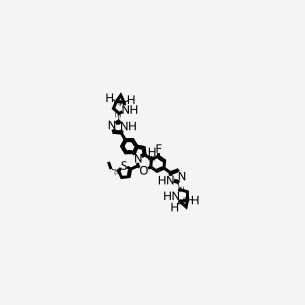 CC[C@H]1CC=C(C2OC3C=C(c4cnc([C@@H]5C[C@H]6C[C@H]6N5)[nH]4)C=C(F)[C@@H]3c3cc4cc(-c5cnc([C@@H]6C[C@H]7C[C@H]7N6)[nH]5)ccc4n32)S1